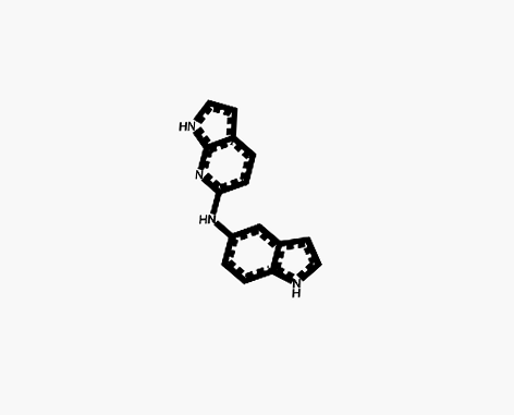 c1cc2cc(Nc3ccc4cc[nH]c4n3)ccc2[nH]1